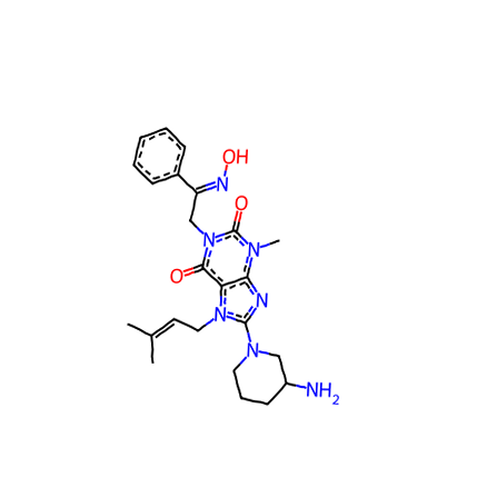 CC(C)=CCn1c(N2CCCC(N)C2)nc2c1c(=O)n(CC(=NO)c1ccccc1)c(=O)n2C